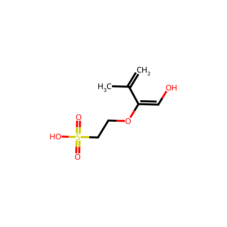 C=C(C)/C(=C\O)OCCS(=O)(=O)O